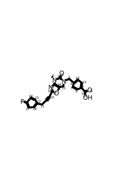 CN1C(=O)N(Cc2ccc(C(=O)O)cc2)Cc2oc(C#CCc3ccc(F)cc3)nc21